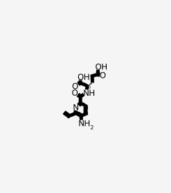 C=Cc1nc(C(=O)N[C@@H](CCC(=O)O)C(=O)O)ccc1N